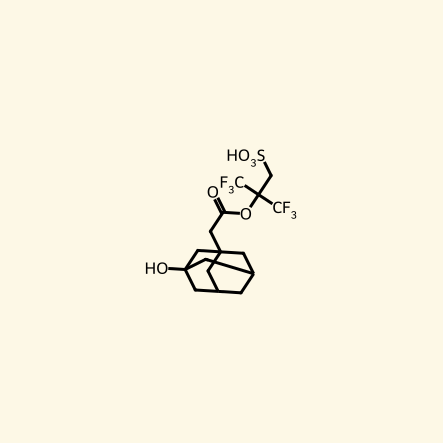 O=C(CC12CC3CC(CC(O)(C3)C1)C2)OC(CS(=O)(=O)O)(C(F)(F)F)C(F)(F)F